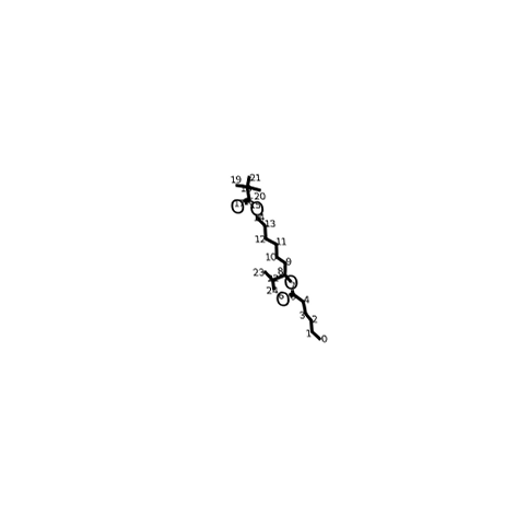 CCCCCC(=O)OC(CCCCCCOC(=O)C(C)(C)C)C(C)C